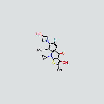 COc1c(N2CC(O)C2)c(F)cc2c(=O)c3c(O)c(C#N)sc3n(C3CC3)c12